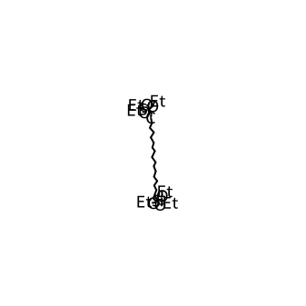 CCO[Si](CCCCCCCCCCCCCCCCCC[Si](OCC)(OCC)OCC)(OCC)OCC